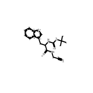 CC(C)(C)OC(=O)NC(Cc1csc2ccccc12)C(=O)NCC#N